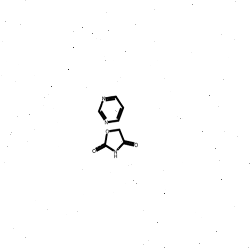 O=C1COC(=O)N1.c1cncnc1